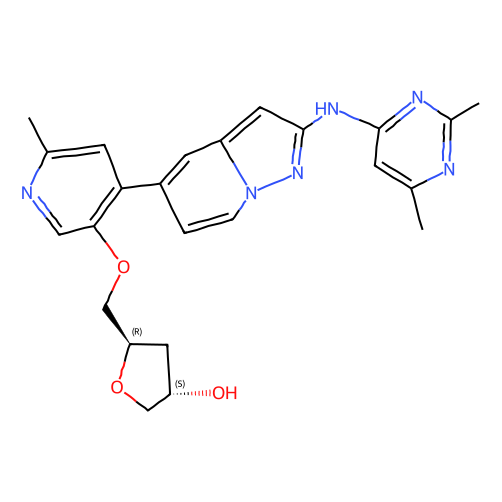 Cc1cc(-c2ccn3nc(Nc4cc(C)nc(C)n4)cc3c2)c(OC[C@H]2C[C@H](O)CO2)cn1